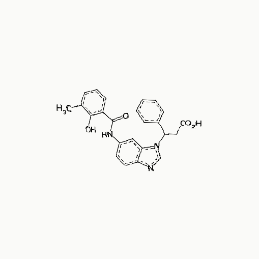 Cc1cccc(C(=O)Nc2ccc3ncn(C(CC(=O)O)c4ccccc4)c3c2)c1O